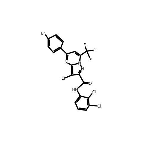 O=C(Nc1cccc(Cl)c1Cl)c1nn2c(C(F)(F)F)cc(-c3ccc(Br)cc3)nc2c1Cl